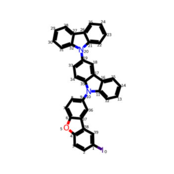 Ic1ccc2oc3ccc(-n4c5ccccc5c5cc(-n6c7ccccc7c7ccccc76)ccc54)cc3c2c1